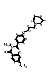 Cc1ccc2c(=O)n(C)c(-c3ccc(OCCCN4CCCCC4)cc3)nc2c1